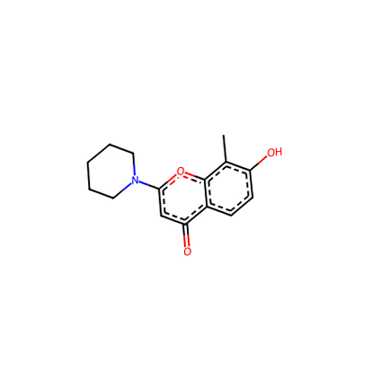 Cc1c(O)ccc2c(=O)cc(N3CCCCC3)oc12